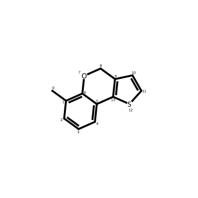 Cc1cccc2c1OCc1ccsc1-2